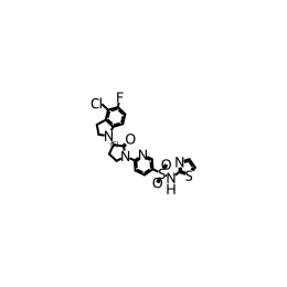 O=C1[C@@H](N2CCc3c2ccc(F)c3Cl)CCN1c1ccc(S(=O)(=O)Nc2nccs2)cn1